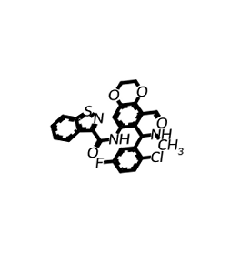 CNC(c1cc(F)ccc1Cl)c1c(NC(=O)c2nsc3ccccc23)cc2c(c1C=O)OCCO2